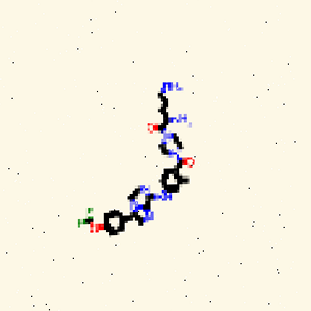 Cc1cc(Nc2nccn3c(-c4ccc(OC(F)F)cc4)cnc23)ccc1C(=O)N1CCN(C(=O)C(N)CCCN)CC1